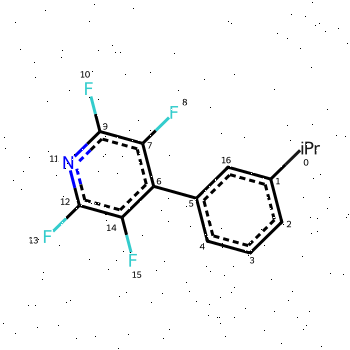 CC(C)c1cccc(-c2c(F)c(F)nc(F)c2F)c1